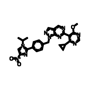 COc1ncnc(C2CC2)c1-c1ncc2cnn(Cc3ccc(-c4nc([N+](=O)[O-])cn4C(C)C)cc3)c2n1